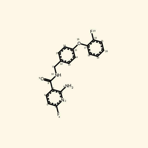 Nc1nc(F)ccc1C(=O)NCc1ccc(Oc2ccccc2F)cc1